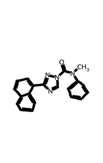 CN(C(=O)n1cnc(-c2cccc3ccccc23)n1)c1ccccc1